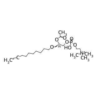 C=CCCCCCCCCCOC[C@H](COP(=O)(O)OCC[N+](C)(C)C)OC(C)=O